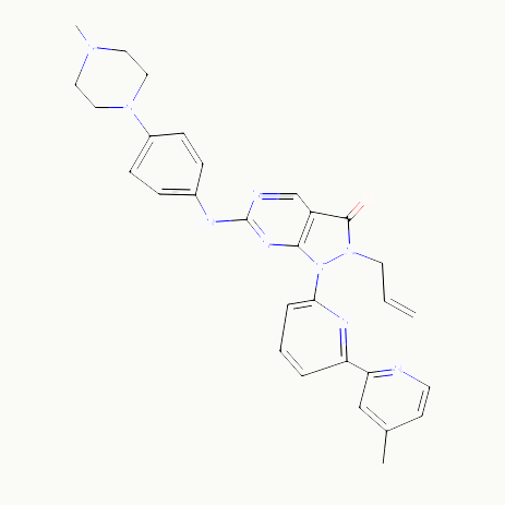 C=CCn1c(=O)c2cnc(Nc3ccc(N4CCN(C)CC4)cc3)nc2n1-c1cccc(-c2cc(C(F)(F)F)ccn2)n1